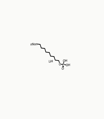 CCCCCCCCCCCCCCCCCCOP(=O)(O)O.[LiH]